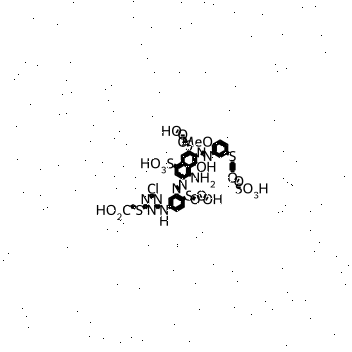 COc1ccc(SC#COOS(=O)(=O)O)cc1N=Nc1c(SOOO)cc2c(S(=O)(=O)O)cc(N=Nc3cc(Nc4nc(Cl)nc(SCC(=O)O)n4)ccc3SOOO)c(N)c2c1O